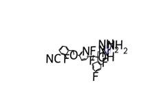 N#Cc1cccc(COc2ccc(C(F)(F)C(O)(CN(N)/N=C\N)c3ccc(F)cc3F)nc2)c1F